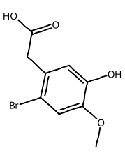 COc1cc(Br)c(CC(=O)O)cc1O